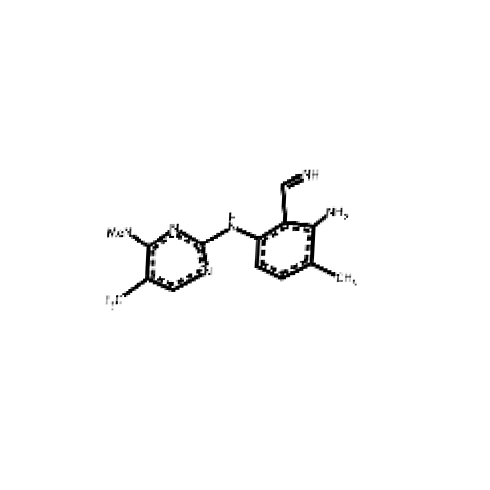 CNc1nc(Nc2ccc(C)c(N)c2C=N)ncc1C(F)(F)F